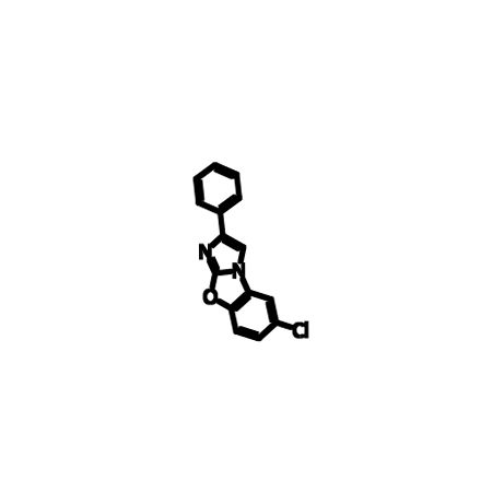 Clc1ccc2oc3nc(-c4ccccc4)cn3c2c1